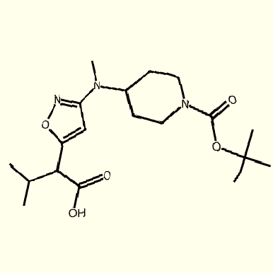 CC(C)C(C(=O)O)c1cc(N(C)C2CCN(C(=O)OC(C)(C)C)CC2)no1